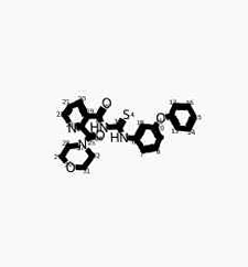 O=C(NC(=S)Nc1cccc(Oc2ccccc2)c1)c1cccnc1C(=O)N1CCOCC1